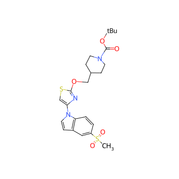 CC(C)(C)OC(=O)N1CCC(COc2nc(-n3ccc4cc(S(C)(=O)=O)ccc43)cs2)CC1